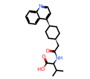 CC(C)C(NC(=O)C[C@H]1CC[C@@H](c2ccnc3ccccc32)CC1)C(=O)O